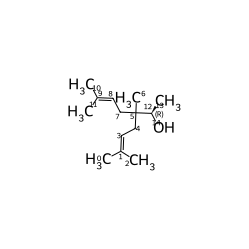 CC(C)=CCC(C)(CC=C(C)C)[C@@H](C)O